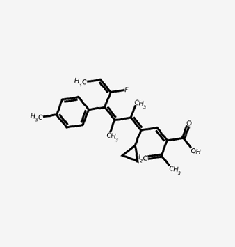 C=C(C)\C(=C/C(=C(C)/C(C)=C(\C(F)=C/C)c1ccc(C)cc1)C1CC1)C(=O)O